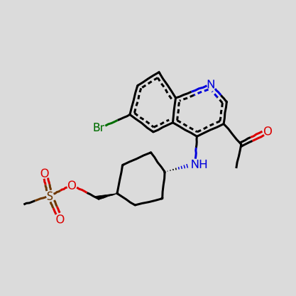 CC(=O)c1cnc2ccc(Br)cc2c1N[C@H]1CC[C@H](COS(C)(=O)=O)CC1